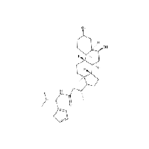 CC(C)C(NC(=O)C[C@@H](C)C1CC[C@H]2[C@@H]3C[C@H](O)[C@@H]4C[C@H](O)CC[C@]4(C)[C@H]3CC[C@]12C)c1cccs1